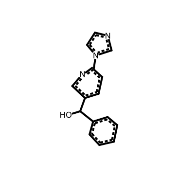 OC(c1ccccc1)c1ccc(-n2ccnc2)nc1